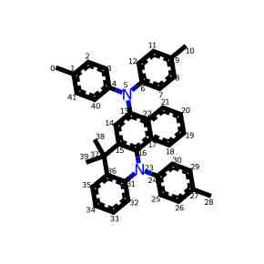 Cc1ccc(N(c2ccc(C)cc2)c2cc3c(c4ccccc24)N(c2ccc(C)cc2)c2ccccc2C3(C)C)cc1